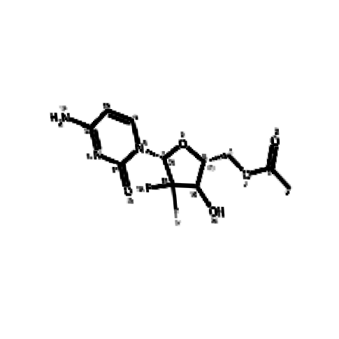 CC(=O)OC[C@H]1O[C@@H](n2ccc(N)nc2=O)C(F)(F)C1O